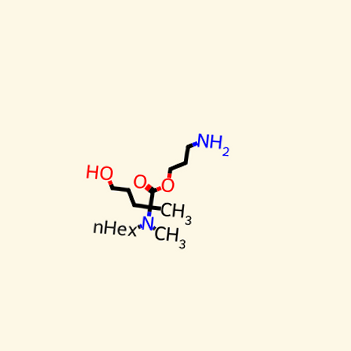 CCCCCCN(C)C(C)(CCCO)C(=O)OCCCN